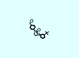 CC(C)(C)c1cccc(N2CCN(c3ccc(C=O)cc3)C2=O)c1